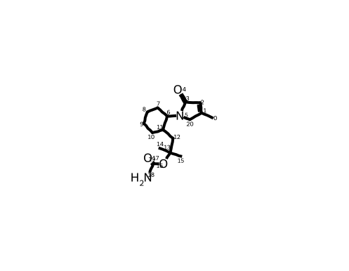 CC1=CC(=O)N(C2CCCCC2CC(C)(C)OC(N)=O)C1